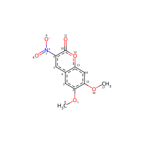 COc1cc2cc([N+](=O)[O-])c(=O)oc2cc1OC